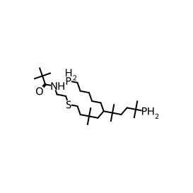 CC(C)(P)CCC(C)(C)C(CCCCCP)CC(C)(C)CCSCCNC(=O)C(C)(C)C